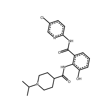 CC(C)N1CCC(C(=O)Nc2c(O)cccc2C(=O)Nc2ccc(Cl)cn2)CC1